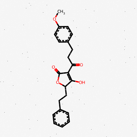 COc1ccc(CCC(=O)C2=C(O)C(CCc3ccccc3)OC2=O)cc1